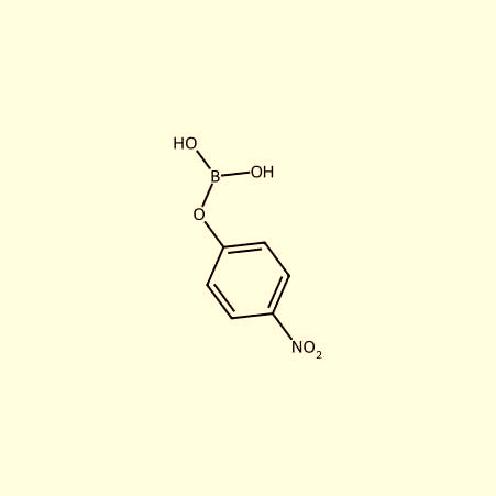 O=[N+]([O-])c1ccc(OB(O)O)cc1